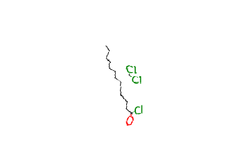 CCCCCCCCCCCC(=O)Cl.ClCCl